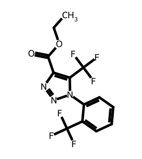 CCOC(=O)c1nnn(-c2ccccc2C(F)(F)F)c1C(F)(F)F